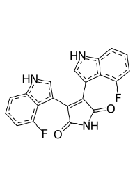 O=C1NC(=O)C(c2c[nH]c3cccc(F)c23)=C1c1c[nH]c2cccc(F)c12